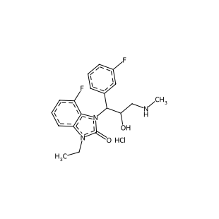 CCn1c(=O)n(C(c2cccc(F)c2)C(O)CNC)c2c(F)cccc21.Cl